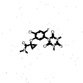 CN(C)C(=O)C1(Oc2cc(-n3c(=O)n(C)c(=S)n(C)c3=O)c(F)cc2Cl)CC1